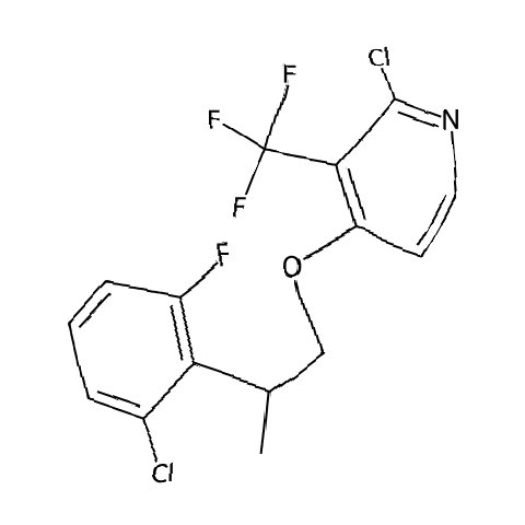 CC(COc1ccnc(Cl)c1C(F)(F)F)c1c(F)cccc1Cl